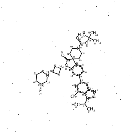 CC(C)n1cnc2cc(-c3ccc4c(c3)N([C@H]3C[C@@H](N5CCC[C@@H](F)C5)C3)C(=O)C43CCN(C(=O)OC(C)(C)C)CC3)nc(Cl)c21